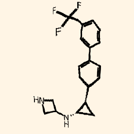 FC(F)(F)c1cccc(C2=CCC([C@H]3C[C@@H]3NC3CNC3)C=C2)c1